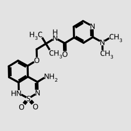 CN(C)c1cc(C(=O)NC(C)(C)COc2cccc3c2C(N)=NS(=O)(=O)N3)ccn1